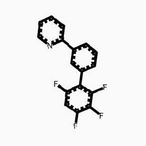 Fc1cc(F)c(-c2cccc(-c3ccccn3)c2)c(F)c1F